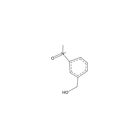 C[N+](=O)c1cccc(CO)c1